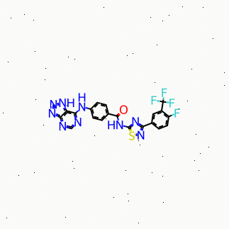 O=C(Nc1nc(-c2ccc(F)c(C(F)(F)F)c2)ns1)c1ccc(Nc2ncnc3nn[nH]c23)cc1